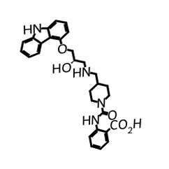 O=C(O)c1ccccc1NC(=O)N1CCC(CNC[C@H](O)COc2cccc3[nH]c4ccccc4c23)CC1